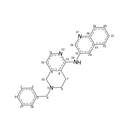 c1ccc(CN2CCc3c(ccnc3Nc3cnc4ccccc4c3)C2)cc1